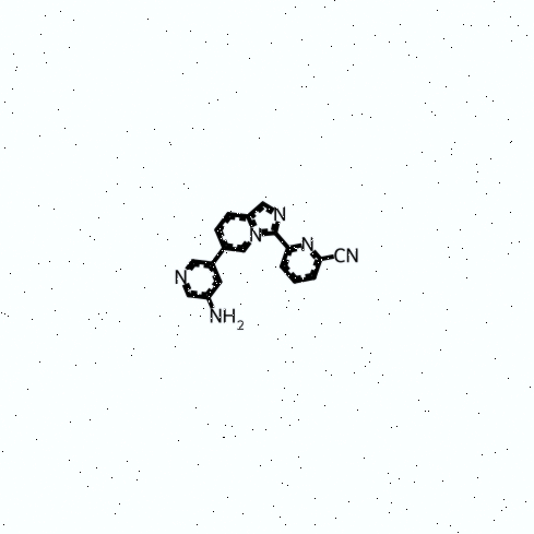 N#Cc1cccc(-c2ncc3ccc(-c4cncc(N)c4)cn23)n1